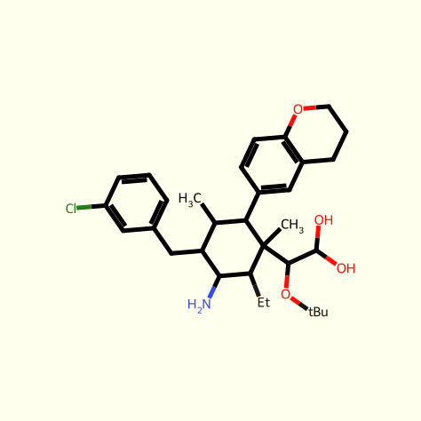 CCC1C(N)C(Cc2cccc(Cl)c2)C(C)C(c2ccc3c(c2)CCCO3)C1(C)C(OC(C)(C)C)C(O)O